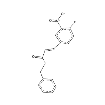 O=C(C=Cc1ccc(F)c([N+](=O)[O-])c1)SCc1ccccc1